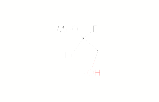 CCC(CC)(CO)OC